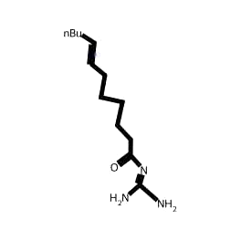 CCCC/C=C/CCCCCC(=O)N=C(N)N